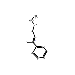 C/C(=C\COPP)c1ccccc1